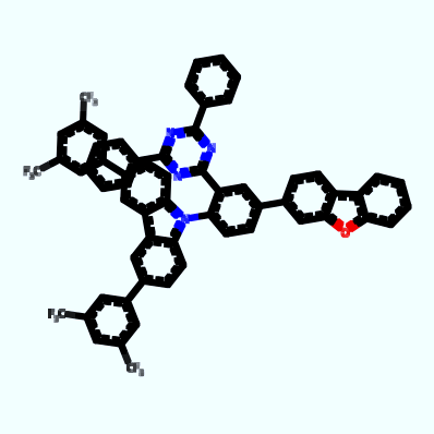 FC(F)(F)c1cc(-c2ccc3c(c2)c2cc(-c4cc(C(F)(F)F)cc(C(F)(F)F)c4)ccc2n3-c2ccc(-c3ccc4c(c3)oc3ccccc34)cc2-c2nc(-c3ccccc3)nc(-c3ccccc3)n2)cc(C(F)(F)F)c1